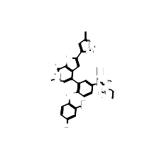 CCS(=O)(=O)Nc1ccc(Oc2ccc(F)cc2F)c(-c2cn(C)c(=O)c3sc(-c4cc(C)no4)cc23)c1